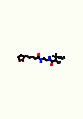 CC(C)C(C(=O)NCCNC(=O)CCCCC1CCSS1)C(C)(C)C(=O)O